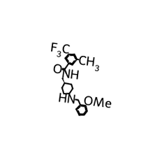 COc1ccccc1CN[C@H]1CC[C@H](CNC(=O)c2cc(C)cc(C(F)(F)F)c2)CC1